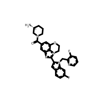 N[C@@H]1CCCN(C(=O)c2cc3c4c(c2)nc(-c2cc5ccc(F)cc5n2Cc2ncccc2F)n4CCO3)C1